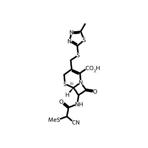 CSC(C#N)C(=O)NC1C(=O)N2C(C(=O)O)=C(CSc3nnc(C)s3)CS[C@@H]12